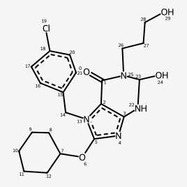 O=C1c2c(nc(OC3CCCCC3)n2Cc2ccc(Cl)cc2)NC(O)N1CCCO